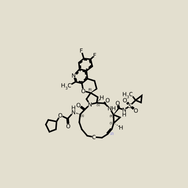 Cc1nc2cc(F)c(F)cc2c2c1O[C@]1(CC2)C[C@H]2C(=O)N[C@]3(C(=O)NS(=O)(=O)C4(C)CC4)C[C@H]3/C=C\CCCCC[C@H](NC(=O)OC3CCCC3)C(=O)N2C1